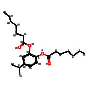 CCCCCCC(=O)Oc1ccc(C(C)C)cc1OC(=O)CCCCCC